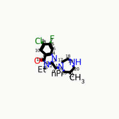 CCC[C@H](c1nc2cc(F)c(Cl)cc2c(=O)n1CC)N1CCNC[C@H](C)C1